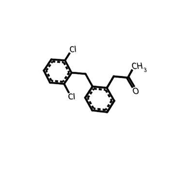 CC(=O)Cc1ccccc1Cc1c(Cl)cccc1Cl